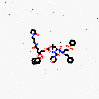 CC(C)(C[C@H](NC(=O)N1CCOCC1)C(=O)N[C@H](/C=C/S(=O)(=O)c1ccccc1)CCc1ccccc1)OC(=O)OCCC1(CCC(=O)NCCCN2CCCC2=O)OOC2(O1)C1CC3CC(C1)CC2C3